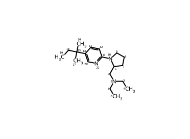 CCN(CC)CC1CCCN1c1ccc(C(C)(C)CC)cn1